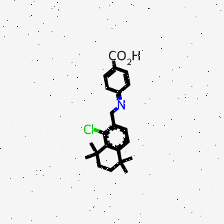 CC1(C)CCC(C)(C)c2c1ccc(CN=C1C=CC(C(=O)O)=CC1)c2Cl